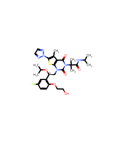 Cc1c(-n2nccn2)sc2c1c(=O)n(C(C)(C)C(=O)NC(C)C)c(=O)n2C[C@H](OC(C)C)c1cc(F)ccc1OCCO